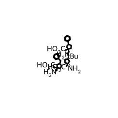 CC(C)(C)[C@H]1CC[C@](CN)(CC(=O)O)C1.NCC1(CC(=O)O)CCC(Cc2ccccc2)C1.NCC1(CC(=O)O)CCC(c2ccccc2)C1